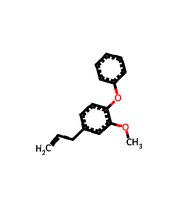 C=CCc1ccc(Oc2ccccc2)c(OC)c1